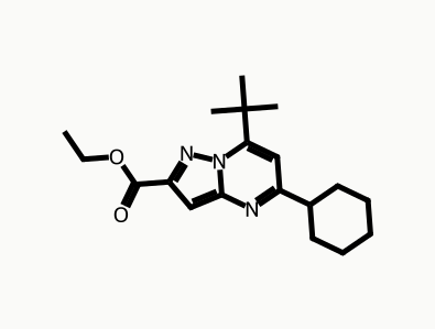 CCOC(=O)c1cc2nc(C3CCCCC3)cc(C(C)(C)C)n2n1